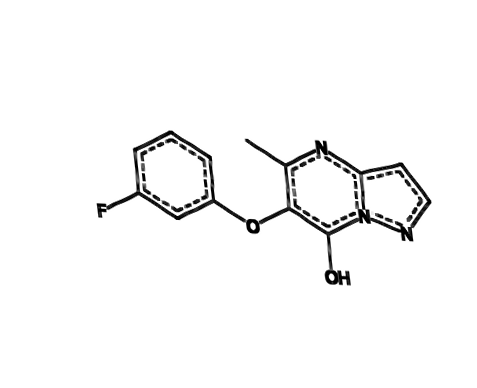 Cc1nc2ccnn2c(O)c1Oc1cccc(F)c1